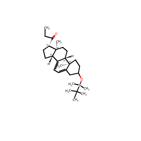 CCC(=O)[C@H]1CC[C@H]2C3=CC=C4CC(O[Si](C)(C)C(C)(C)C)CC[C@]4(C)[C@H]3CC[C@]12C